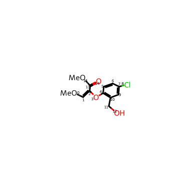 COC=C(Oc1ccc(Cl)cc1CO)C(=O)OC